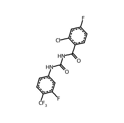 O=C(NC(=O)c1ccc(F)cc1Cl)Nc1ccc(C(F)(F)F)c(F)c1